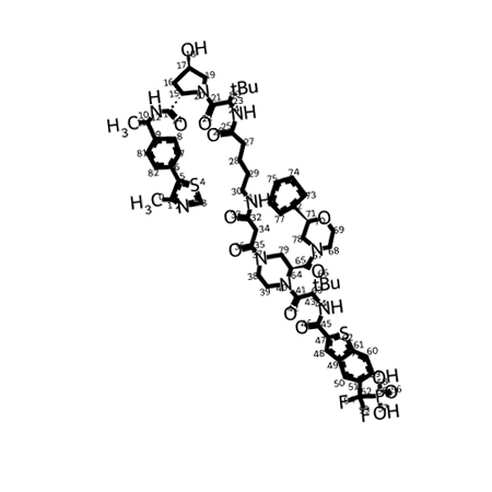 Cc1ncsc1-c1ccc(C(C)NC(=O)[C@@H]2C[C@@H](O)CN2C(=O)C(NC(=O)CCCCNC(=O)CC(=O)N2CCN(C(=O)C(NC(=O)c3cc4cc(C(F)(F)P(=O)(O)O)ccc4s3)C(C)(C)C)[C@H](C(=O)N3CCO[C@H](c4ccccc4)C3)C2)C(C)(C)C)cc1